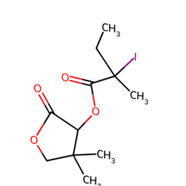 CCC(C)(I)C(=O)OC1C(=O)OCC1(C)C